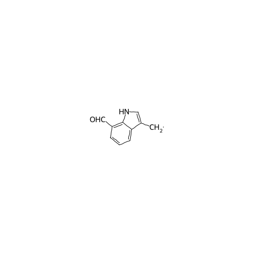 [CH2]c1c[nH]c2c(C=O)cccc12